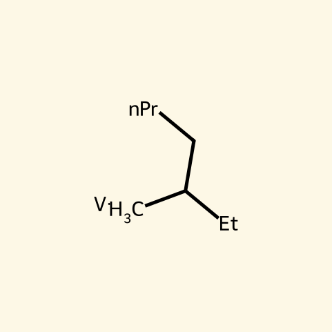 CCCCC(C)CC.[V]